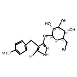 COc1ccc(Cc2c(O[C@@H]3O[C@H](CO)[C@@H](O)[C@H](O)[C@H]3O)n[nH]c2C(C)C)cc1